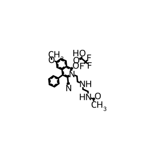 COc1ccc2c(=O)n(CCNCCNC(C)=O)c(C#N)c(-c3ccccc3)c2c1.O=C(O)C(F)(F)F